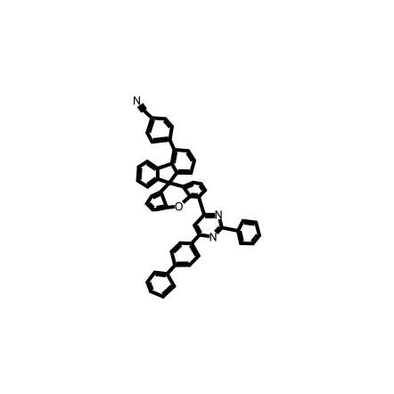 N#Cc1ccc(-c2cccc3c2-c2ccccc2C32c3ccccc3Oc3c(-c4cc(-c5ccc(-c6ccccc6)cc5)nc(-c5ccccc5)n4)cccc32)cc1